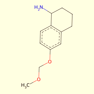 COCOc1ccc2c(c1)CCCC2N